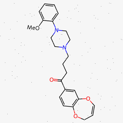 COc1ccccc1N1CCN(CCCC(=O)c2ccc3c(c2)OC=CCO3)CC1